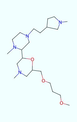 COCCCOCC1CN(C)CC(C2CN(CCC3CCN(C)C3)CCN2C)O1